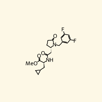 COC(=O)[C@H](CC1CC1)NC(=O)C[C@@H]1CCC(=O)N1Cc1cc(F)cc(F)c1